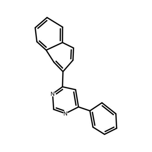 c1ccc(-c2cc(-c3ccc4ccccc4c3)ncn2)cc1